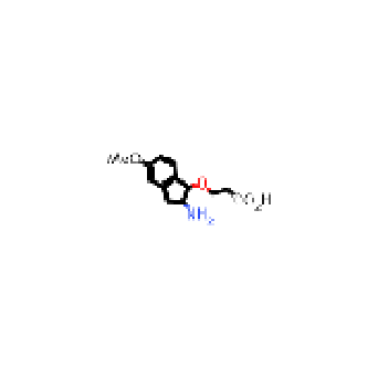 COc1ccc2c(c1)CC(N)C2OCCC(=O)O